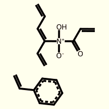 C=CC=C(C=C)[N+]([O-])(O)C(=O)C=C.C=Cc1ccccc1